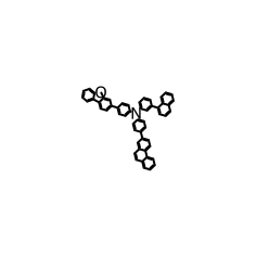 c1cc(-c2cccc3ccccc23)cc(N(c2ccc(-c3ccc4c(ccc5ccccc54)c3)cc2)c2ccc(-c3ccc4c(c3)oc3ccccc34)cc2)c1